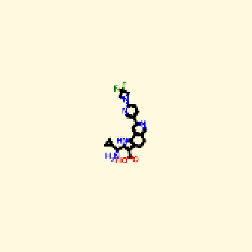 NC(c1[nH]c2c(c1C(=O)O)CCc1cnc(-c3ccc(N4CC(F)(F)C4)nc3)cc1-2)C1CC1